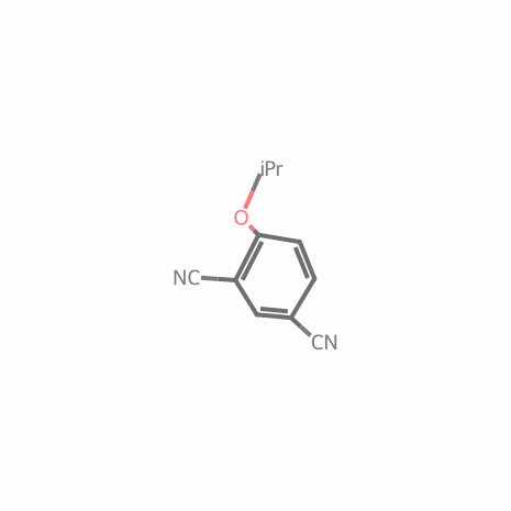 CC(C)Oc1ccc(C#N)cc1C#N